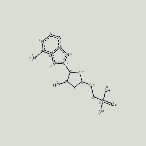 Nc1ncnc2nn(C3OC(OCP(=O)(O)O)CC3O)nc12